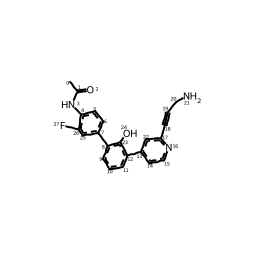 CC(=O)Nc1ccc(-c2cccc(-c3ccnc(C#CCN)c3)c2O)cc1F